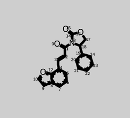 O=C(/C=C/c1cccc2ccoc12)N1C(=O)OCC1c1ccccc1